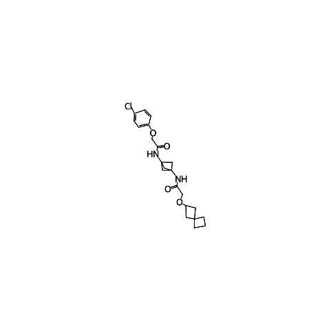 O=C(COc1ccc(Cl)cc1)NC12CC(NC(=O)COC3CC4(CCC4)C3)(C1)C2